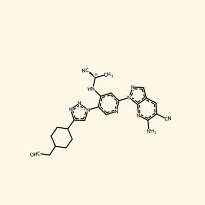 C[C@H](C#N)Nc1cc(-n2ncc3cc(C#N)c(N)nc32)ncc1-n1cc(C2CCC(CC=O)CC2)nn1